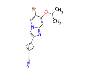 CC(C)Oc1cc2nc(C34CC(C#N)(C3)C4)cn2cc1Br